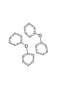 c1ccc(Oc2ccccc2)cc1.c1ccc(Oc2ccccc2)cc1